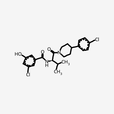 CC(C)[C@@H](NC(=O)c1cc(O)cc(Cl)c1)C(=O)N1CCC(c2ccc(Cl)cc2)CC1